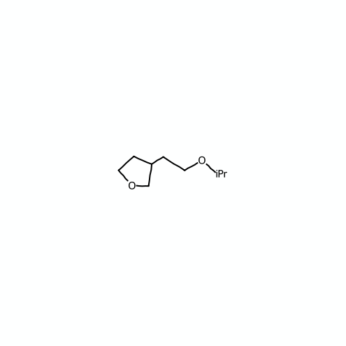 CC(C)OCCC1CCOC1